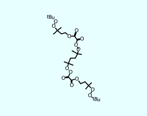 CC(C)(C)OOC(C)(C)CCOC(=O)C(=O)OOC(C)(C)CCC(C)(C)OOC(=O)C(=O)OCCC(C)(C)OOC(C)(C)C